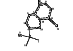 CCC(C)(C)c1ccc2[nH]ccc(=O)c2c1